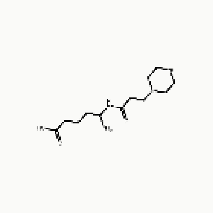 NC(CCCC(=O)O)NC(=O)CCN1CCNCC1